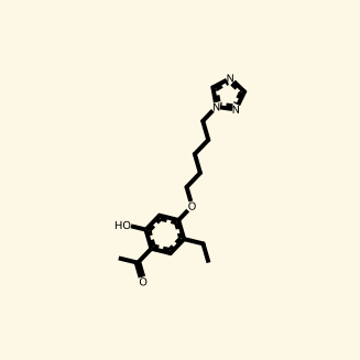 CCc1cc(C(C)=O)c(O)cc1OCCCCCn1cncn1